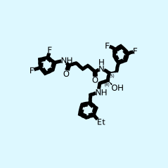 CCc1cccc(CNC[C@@H](O)[C@H](Cc2cc(F)cc(F)c2)NC(=O)CCCC(=O)Nc2ccc(F)cc2F)c1